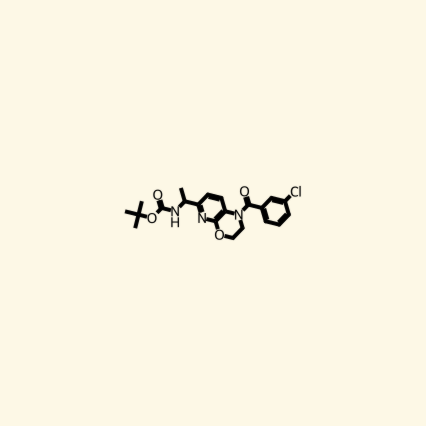 CC(NC(=O)OC(C)(C)C)c1ccc2c(n1)OCCN2C(=O)c1cccc(Cl)c1